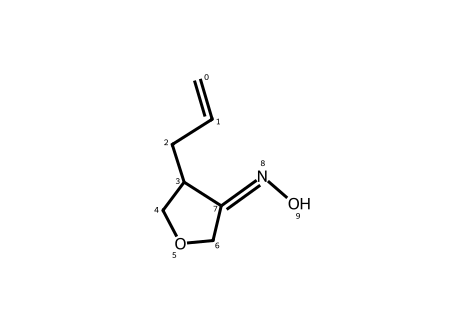 C=CCC1COCC1=NO